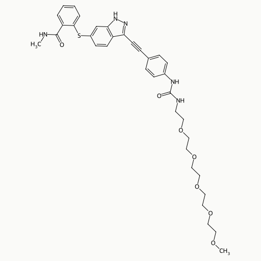 CNC(=O)c1ccccc1Sc1ccc2c(C#Cc3ccc(NC(=O)NCCOCCOCCOCCOCCOC)cc3)n[nH]c2c1